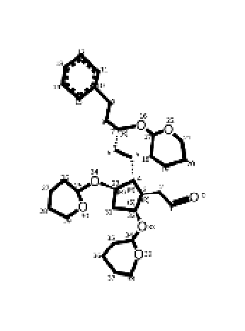 O=CC[C@@H]1[C@@H](CC[C@H](CCc2ccccc2)OC2CCCCO2)[C@H](OC2CCCCO2)C[C@@H]1OC1CCCCO1